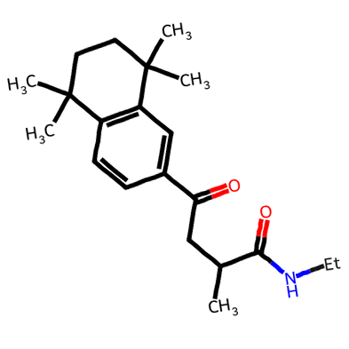 CCNC(=O)C(C)CC(=O)c1ccc2c(c1)C(C)(C)CCC2(C)C